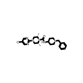 C[C@@H]1CN(c2ncc(Cl)cn2)C[C@H](C)N1C(=O)NC1CCN(Cc2ccccc2)CC1